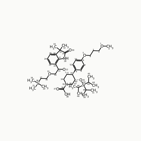 COCCCOc1ccc([C@@H]2[C@@H](OC(COCC[Si](C)(C)C)c3cccc4c3NC(=O)C4(C)C)CN(C(=O)O)C[C@H]2O[Si](C(C)C)(C(C)C)C(C)C)cc1